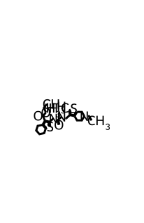 CCOC(=O)c1c(NC(=O)NCc2c(C)sc3c2CCN(CC)C3)sc2c1CCCC2